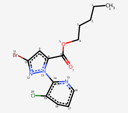 CCCCCOC(=O)c1cc(Br)nn1-c1ncccc1Cl